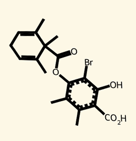 CC1=CCC=C(C)C1(C)C(=O)Oc1c(C)c(C)c(C(=O)O)c(O)c1Br